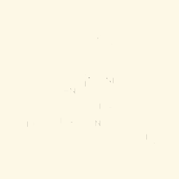 C=C[SiH]1N[SiH](C=C)N[SiH](C=C)N1